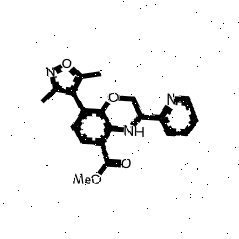 COC(=O)c1ccc(-c2c(C)noc2C)c2c1NC(c1ccccn1)CO2